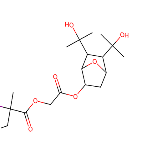 CCC(C)(I)C(=O)OCC(=O)OC1CC2OC1C(C(C)(C)O)C2C(C)(C)O